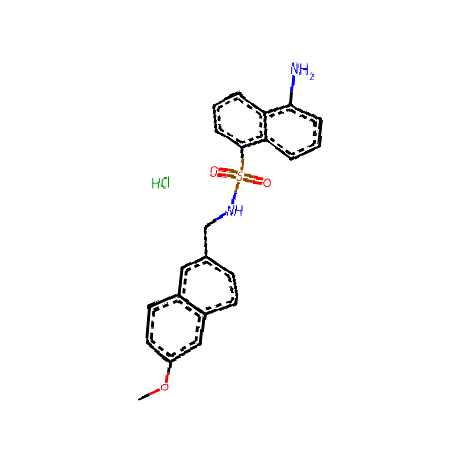 COc1ccc2cc(CNS(=O)(=O)c3cccc4c(N)cccc34)ccc2c1.Cl